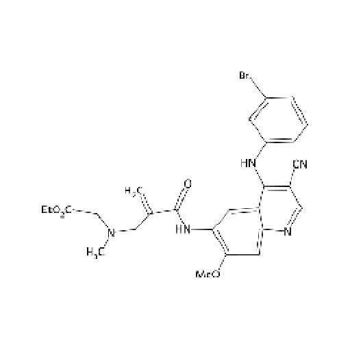 C=C(CN(C)CC(=O)OCC)C(=O)Nc1cc2c(Nc3cccc(Br)c3)c(C#N)cnc2cc1OC